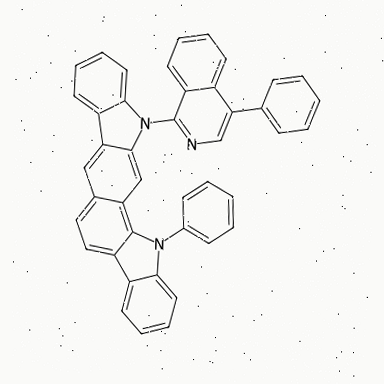 c1ccc(-c2cnc(-n3c4ccccc4c4cc5ccc6c7ccccc7n(-c7ccccc7)c6c5cc43)c3ccccc23)cc1